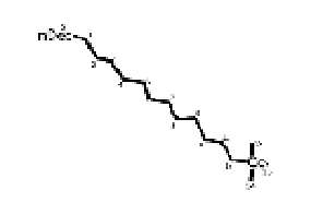 [CH2]CCCCCCCCCCCCCCCCCCCC[CH2][Ge]([CH3])([CH3])[CH3]